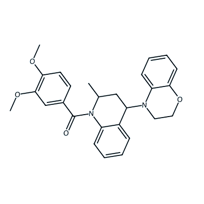 COc1ccc(C(=O)N2c3ccccc3C(N3CCOc4ccccc43)CC2C)cc1OC